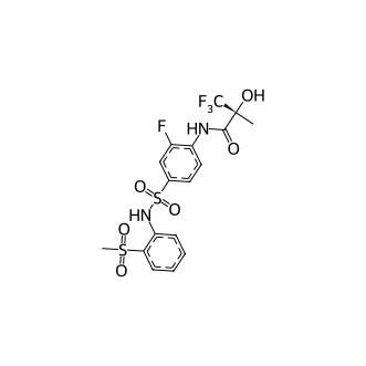 C[C@@](O)(C(=O)Nc1ccc(S(=O)(=O)Nc2ccccc2S(C)(=O)=O)cc1F)C(F)(F)F